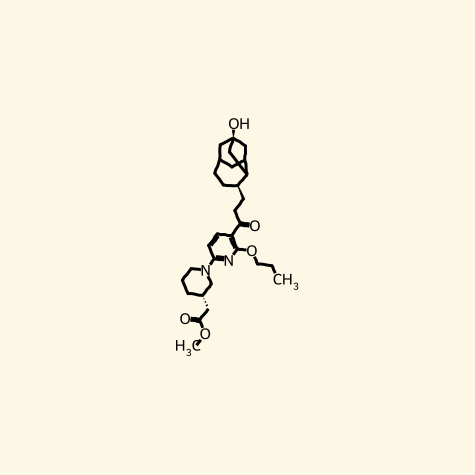 CCCOc1nc(N2CCC[C@@H](CC(=O)OC)C2)ccc1C(=O)CC[C@H]1CCC2CC3C[C@@](O)(C2)CC31